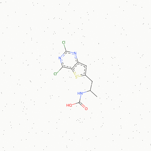 CC(Cc1cc2nc(Cl)nc(Cl)c2s1)NC(=O)O